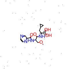 COCC(NC(=O)c1cnccn1)C(=O)N[C@@H](CC1CC1)B(O)O